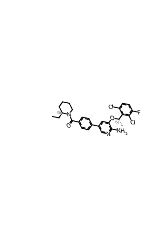 CC[C@H]1CCCCN1C(=O)c1ccc(-c2cnc(N)c(O[C@@H](C)c3c(Cl)ccc(F)c3Cl)c2)cc1